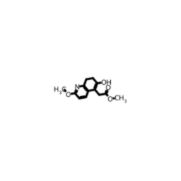 COC(=O)CC1=C(O)CCc2nc(OC)ccc21